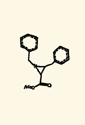 COC(=O)C1C(c2ccccc2)N1Cc1ccccc1